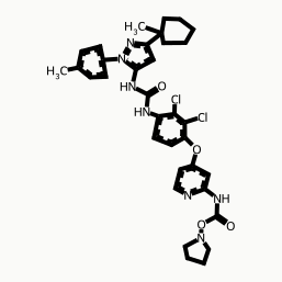 Cc1ccc(-n2nc(C3(C)CCCCC3)cc2NC(=O)Nc2ccc(Oc3ccnc(NC(=O)ON4CCCC4)c3)c(Cl)c2Cl)cc1